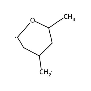 [CH2]C1C[CH]OC(C)C1